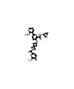 CCOc1ncccc1-c1ccc(OC2CC3(C2)CN(C(=O)c2ccc(C)c(C(F)(F)F)n2)C3)c(C(=O)N[C@@H]2CCNC2)n1